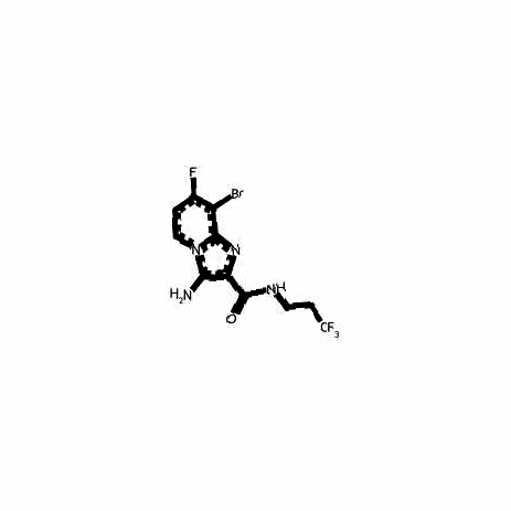 Nc1c(C(=O)NCCC(F)(F)F)nc2c(Br)c(F)ccn12